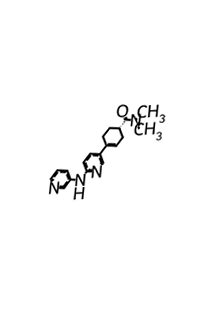 CN(C)C(=O)[C@@H]1CC=C(c2ccc(Nc3cccnc3)nc2)CC1